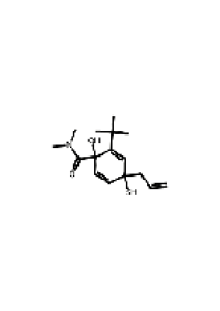 C=CCC1(S)C=CC(O)(C(=O)N(C)C)C(C(C)(C)C)=C1